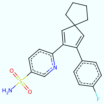 NS(=O)(=O)c1ccc(C2=CC3(C=C2c2ccc(F)cc2)CCCC3)nc1